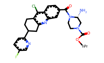 CCCOC(=O)N1CCN(C(=O)c2ccc3c(Cl)c4c(nc3c2)CC(c2ccc(F)cn2)CC4)[C@H](N)C1